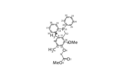 COC(=O)COc1c(C)cc(C)c(CP(c2ccccc2)c2ccccc2)c1OC